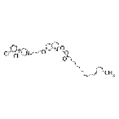 CC/C=C\C/C=C\C/C=C\CCCCCCCC(=O)OCOC1=Nc2cc(OCCCCN3CCN(c4cccc(Cl)c4Cl)CC3)ccc2CC1